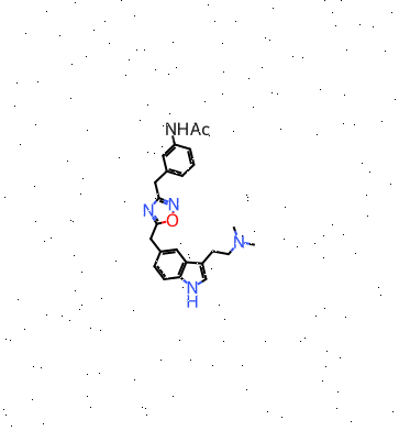 CC(=O)Nc1cccc(Cc2noc(Cc3ccc4[nH]cc(CCN(C)C)c4c3)n2)c1